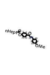 CCCCCCCC(=O)Oc1ccc(C(=O)/C=C/c2ccc(OC)cc2)cc1